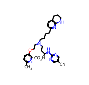 Cc1ccc(OCCN(CCCCc2ccc3c(n2)NCCC3)CCC(Nc2ncc(C#N)cn2)C(=O)O)cn1